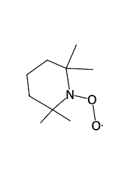 CC1(C)CCCC(C)(C)N1O[O]